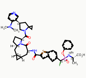 CCCN([C@@H](C)C(=O)O)[P@@](=O)(Oc1ccccc1)[C@@H](F)c1ccc2sc(C(=O)N[C@H]3C[C@@H]4C[C@@H]4C[C@H]4CC[C@@H](C(=O)N5C[C@@H](c6cnccc6N(C)C)CC56CC6)N4C3=O)cc2c1